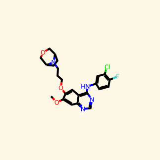 COc1cc2ncnc(Nc3ccc(F)c(Cl)c3)c2cc1OCCCN1C2CCC1COC2